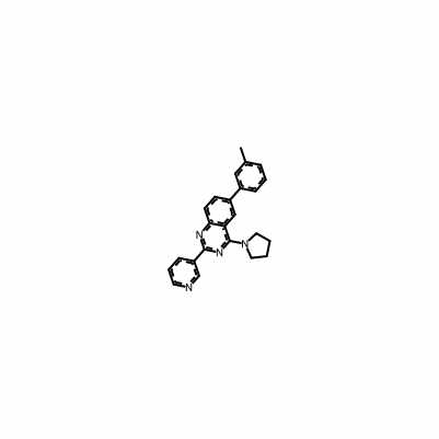 Cc1cccc(-c2ccc3nc(-c4cccnc4)nc(N4CCCC4)c3c2)c1